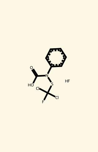 F.O=C(O)N(SC(F)(Cl)Cl)c1ccccc1